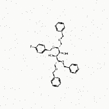 O[C@@H]([C@H](O)[C@@H](COCc1ccccc1)OCc1ccc(F)cc1)[C@@H](COCc1ccccc1)OCc1ccccc1